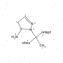 CCCCCCCC(C)(CCCCCC)N1N=CCC1N